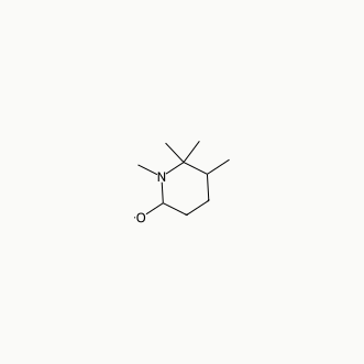 CC1CCC([O])N(C)C1(C)C